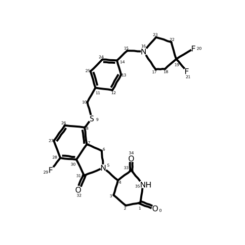 O=C1CCC(N2Cc3c(SCc4ccc(CN5CCC(F)(F)CC5)cc4)ccc(F)c3C2=O)C(=O)N1